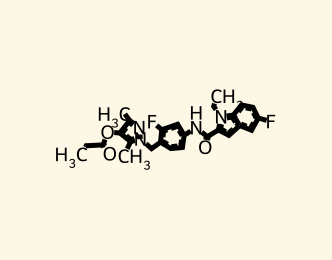 CCC(=O)Oc1c(C)nn(Cc2ccc(NC(=O)c3cc4cc(F)ccc4n3CC)cc2F)c1C